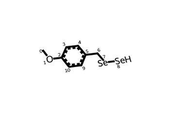 COc1ccc(C[Se][SeH])cc1